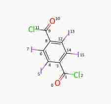 O=C(Cl)c1c(I)c(I)c(C(=O)Cl)c(I)c1I